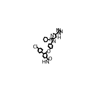 CNC(=O)c1ccc(-c2ccc(Cl)cc2)c(COc2ccc(-c3nc4cc(-c5nnn[nH]5)cnc4n3C3CCCCC3)cc2)c1